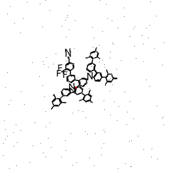 Cc1cc(C)c(-c2ccc3c(c2)c2cc(-c4c(C)cc(C)cc4C)ccc2n3-c2ccc(C#N)c(-c3cc(-c4ccc(C#N)cc4C(F)(F)F)ccc3-n3c4ccc(-c5c(C)cc(C)cc5C)cc4c4cc(-c5c(C)cc(C)cc5C)ccc43)c2)c(C)c1